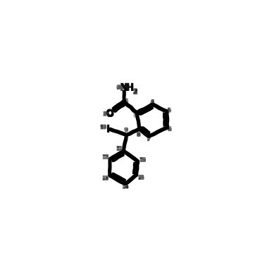 NC(=O)c1ccccc1C(I)c1ccccc1